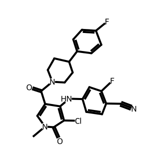 Cn1cc(C(=O)N2CCC(c3ccc(F)cc3)CC2)c(Nc2ccc(C#N)c(F)c2)c(Cl)c1=O